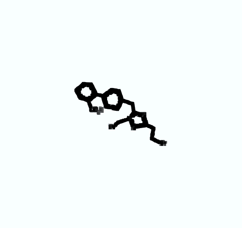 CC(C)CCc1nc(Cc2ccc(-c3ccccc3C(=O)O)cc2)n(CC(C)C)n1